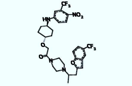 CC(Cc1cc2cc(C(F)(F)F)ccc2o1)N1CCN(C(=O)CO[C@H]2CC[C@H](Nc3ccc([N+](=O)[O-])c(C(F)(F)F)c3)CC2)CC1